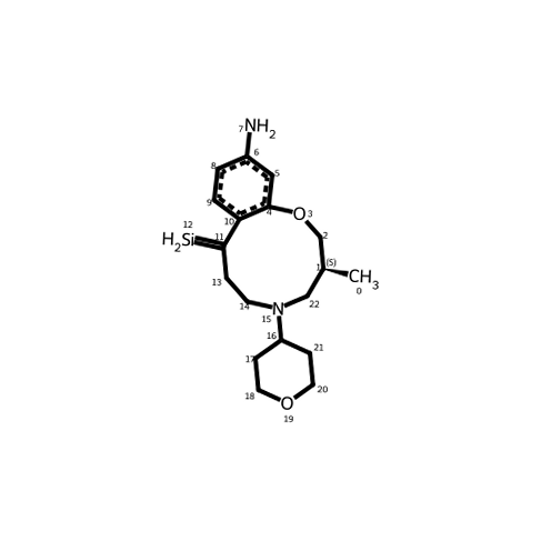 C[C@@H]1COc2cc(N)ccc2C(=[SiH2])CCN(C2CCOCC2)C1